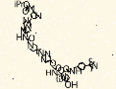 Cc1ncsc1-c1ccc(CNC(=O)[C@@H]2C[C@@H](O)CN2C(=O)[C@@H](NC(=O)COc2cnc(N3CC4(CCN(CC(=O)Nc5cn6cc(-c7cncc(N(C)C(=O)OC(C)C)c7)ncc6n5)CC4)C3)nc2)C(C)(C)C)cc1